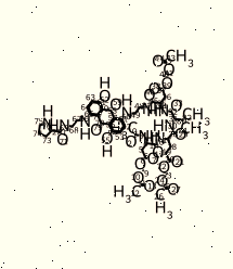 CC(=O)NC(CC(=O)OCOC(C)=O)C(=O)NC(CCC(=O)OCOC(C)=O)C(=O)NC(C(=O)NC(CC(=O)OCOC(C)=O)C(=O)NCCNc1ccc(O)c2c1C(=O)c1c(O)ccc(NCCNC(=O)C3CCCN3)c1C2=O)C(C)C